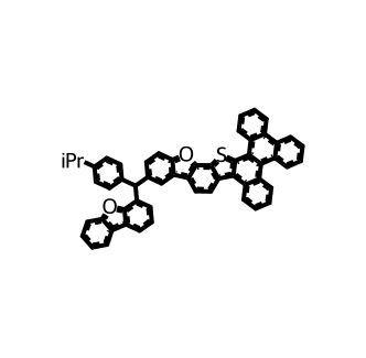 CC(C)c1ccc(C(c2ccc3oc4c(ccc5c4sc4c5c5ccccc5c5c6ccccc6c6ccccc6c45)c3c2)c2cccc3c2oc2ccccc23)cc1